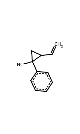 C=CC1CC1(C#N)c1ccccc1